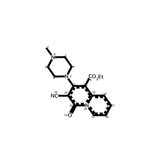 CCOC(=O)c1c(N2CCN(C)CC2)c(C#N)c(=O)n2ccccc12